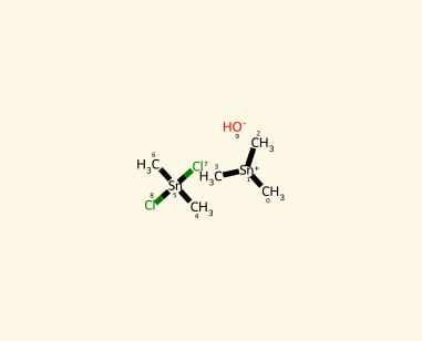 [CH3][Sn+]([CH3])[CH3].[CH3][Sn]([CH3])([Cl])[Cl].[OH-]